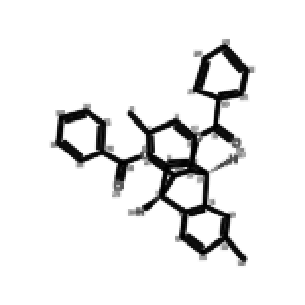 Cc1ccc2c(c1)[C@H]1c3ccc(C)cc3[C@H]2C(OC(=O)c2ccccc2)C1OC(=O)c1ccccc1